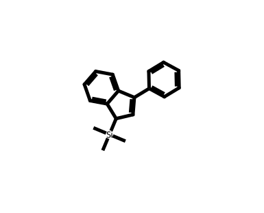 C[Si](C)(C)C1C=C(c2ccccc2)c2ccccc21